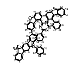 CC1(C)c2ccccc2-c2cc3c(cc21)c1cc(-c2ccc4oc5cccc(-c6nc(-c7ccccc7)nc(-c7ccccc7-c7cccc8sc9ccccc9c78)n6)c5c4c2)ccc1n3-c1ccccc1